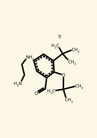 CC(C)(C)Oc1c(C=O)cccc1C(C)(C)C.NCCN.[Ti]